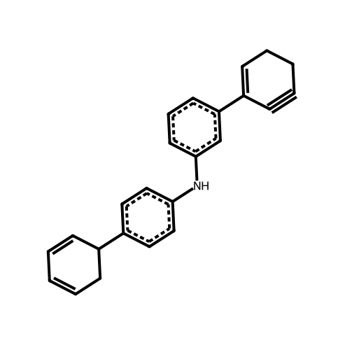 C1#CC(c2cccc(Nc3ccc(C4C=CC=CC4)cc3)c2)=CCC1